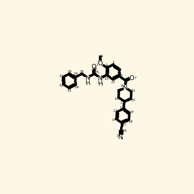 COc1ccc(C(=O)N2CCC(c3ccc(C#N)cc3)CC2)cc1NC(=O)NCc1ccccc1